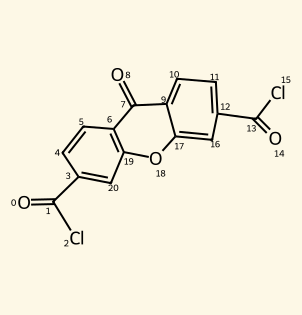 O=C(Cl)c1ccc2c(=O)c3ccc(C(=O)Cl)cc3oc2c1